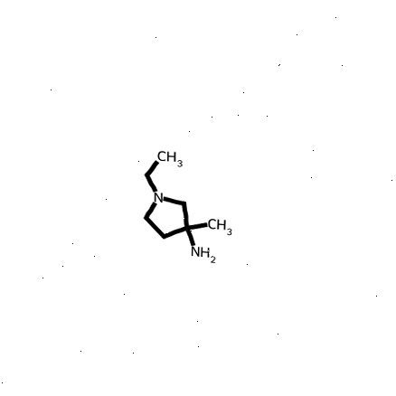 CCN1CCC(C)(N)C1